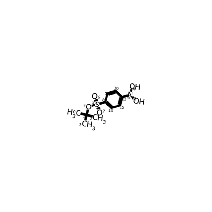 CC(C)(C)OS(=O)(=O)c1ccc(N(O)O)cc1